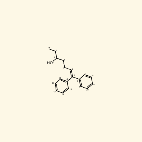 CCC(O)CCC=C(c1ccccc1)c1ccccc1